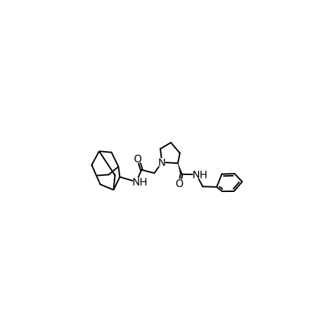 O=C(CN1CCC[C@H]1C(=O)NCc1ccccc1)NC1C2CC3CC(C2)CC1C3